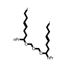 CCCC(CCC=CCCI)OCOCOC(CCC)CCC=CCCI